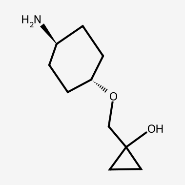 N[C@H]1CC[C@H](OCC2(O)CC2)CC1